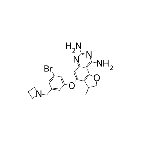 CC1COc2c1c(Oc1cc(Br)cc(CN3CCC3)c1)cc1nc(N)nc(N)c21